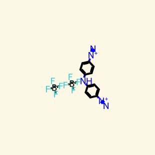 F[B-](F)(F)F.F[B-](F)(F)F.N#[N+]c1ccc(Nc2ccc([N+]#N)cc2)cc1